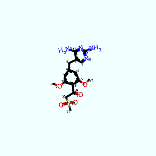 COc1cc(Cc2cnc(N)nc2N)cc(OC)c1C(=O)CS(C)(=O)=O